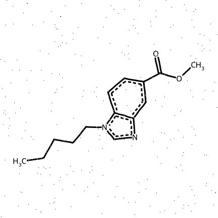 CCCCCn1cnc2cc(C(=O)OC)ccc21